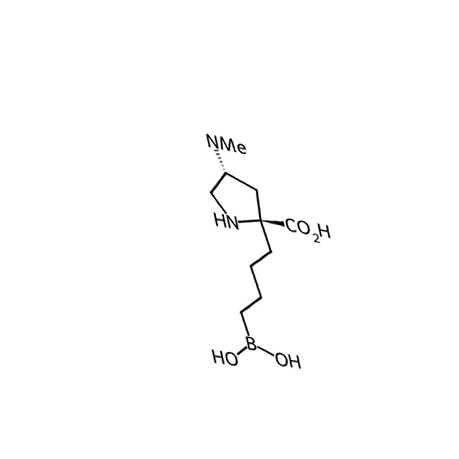 CN[C@H]1CN[C@](CCCCB(O)O)(C(=O)O)C1